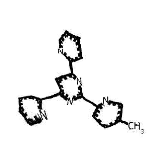 Cc1ccc(-c2nc(-c3ccccn3)cc(-c3ccccn3)n2)nc1